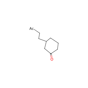 CC(=O)CCC1CCCC(=O)C1